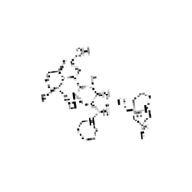 C#Cc1c(F)ccc2cc(O)cc(-c3ncc4c(N5CCCCC5)nc(OC[C@@]56CCCN5C[C@H](F)C6)nc4c3F)c12